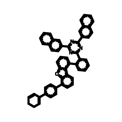 C1=CC(c2ccc(-c3cccc4c3oc3cccc(-c5ccccc5-c5nc(-c6ccc7ccccc7c6)nc(-c6ccc7ccccc7c6)n5)c34)cc2)=CCC1